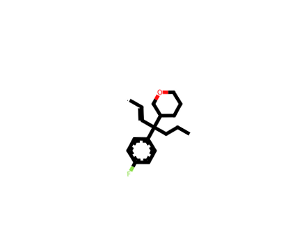 [CH2]C=CC(CCC)(c1ccc(F)cc1)C1CCCOC1